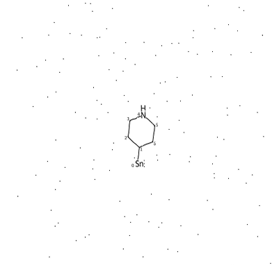 [Sn][CH]1CCNCC1